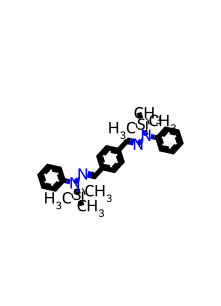 C[Si](C)(C)N(/N=C/c1ccc(/C=N/N(c2ccccc2)[Si](C)(C)C)cc1)c1ccccc1